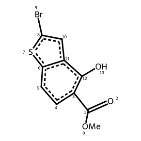 COC(=O)c1ccc2sc(Br)cc2c1O